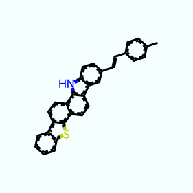 Cc1ccc(/C=C/c2ccc3[nH]c4c(ccc5c4ccc4c6ccccc6sc45)c3c2)cc1